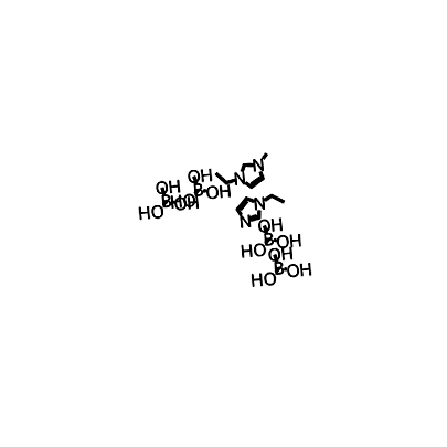 CCN1C=CN(C)C1.CCn1ccnc1.OB(O)O.OB(O)O.OB(O)O.OB(O)O